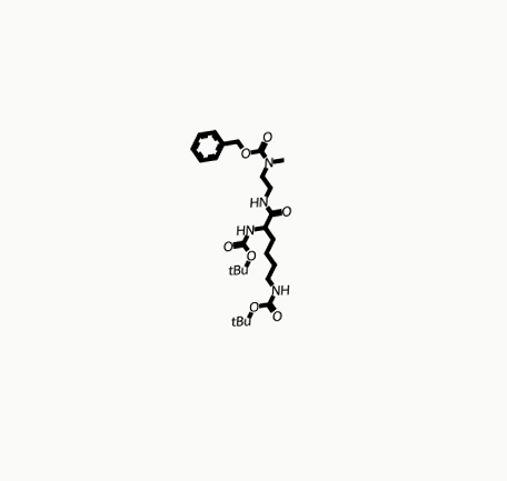 CN(CCNC(=O)C(CCCCNC(=O)OC(C)(C)C)NC(=O)OC(C)(C)C)C(=O)OCc1ccccc1